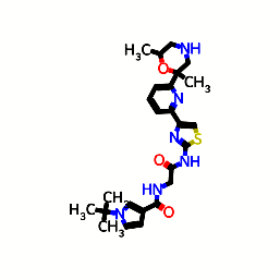 CC1CNCC(C)(c2cccc(-c3csc(NC(=O)CNC(=O)c4ccn(C(C)(C)C)c4)n3)n2)O1